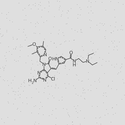 CCN(CC)CCNC(=O)c1c[nH]c(/C=C2\C(=O)N(Cc3ncc(C)c(OC)c3C)c3nc(N)nc(Cl)c32)c1